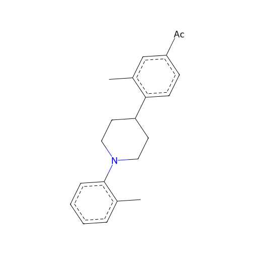 CC(=O)c1ccc(C2CCN(c3ccccc3C)CC2)c(C)c1